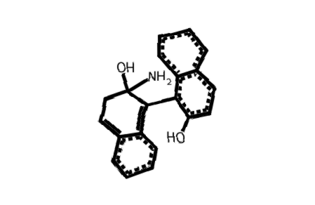 NC1(O)CC=c2ccccc2=C1c1c(O)ccc2ccccc12